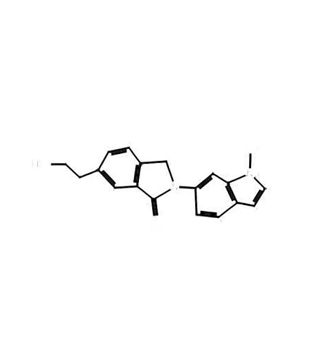 CCCc1ccc2c(c1)C(=O)N(c1ccc3ccn(C)c3c1)C2